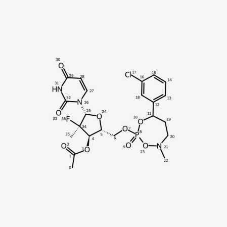 CC(=O)O[C@@H]1[C@@H](COP2(=O)OC(c3cccc(Cl)c3)CCN(C)O2)O[C@@H](n2ccc(=O)[nH]c2=O)[C@]1(C)F